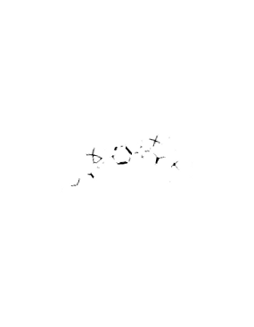 CCOC(=O)[C@@H]1[C@@H](c2ccc(S(=O)(=O)N(C(=O)OC(C)(C)C)C(C)(C)C)cc2)C1(C)C